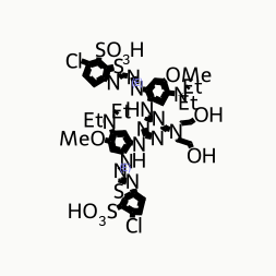 CCN(CC)c1cc(Nc2nc(Nc3cc(N(CC)CC)c(OC)cc3/N=N/c3nc4ccc(Cl)c(S(=O)(=O)O)c4s3)nc(N(CCO)CCO)n2)c(/N=N/c2nc3ccc(Cl)c(S(=O)(=O)O)c3s2)cc1OC